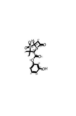 CC1(C)[C@H](C(=O)Oc2cccc(O)c2)N2C(=O)C[C@H]2S1(=O)=O